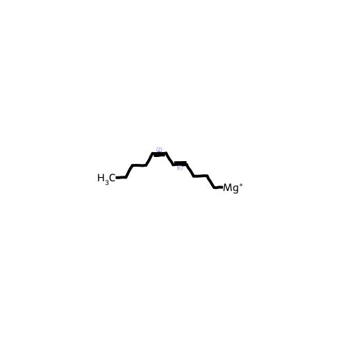 CCCC/C=C\C=C\CC[CH2][Mg+]